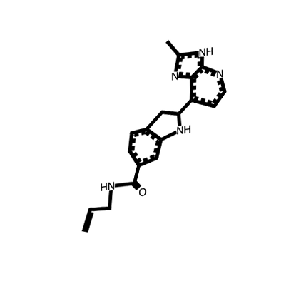 C=CCNC(=O)c1ccc2c(c1)NC(c1ccnc3[nH]c(C)nc13)C2